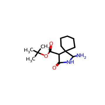 CC(C)(C)OC(=O)C1C(=O)NC(N)C12CCCCC2